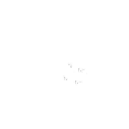 CC(C)c1ccc(-c2cnc(N)c(N)n2)cc1